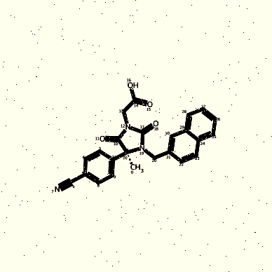 C[C@]1(c2ccc(C#N)cc2)C(=O)N(CC(=O)O)C(=O)N1Cc1ccc2ccccc2c1